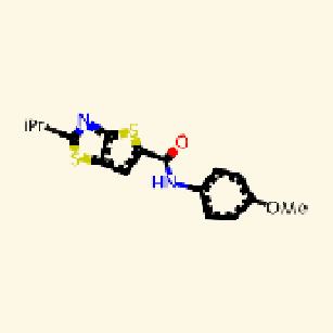 COc1ccc(NC(=O)c2cc3sc(C(C)C)nc3s2)cc1